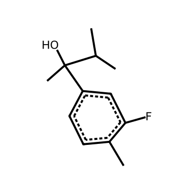 Cc1ccc(C(C)(O)C(C)C)cc1F